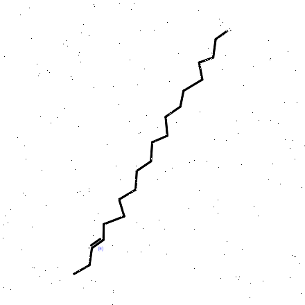 [CH2]CCCCCCCCCCCCCCC/C=[C]/CC